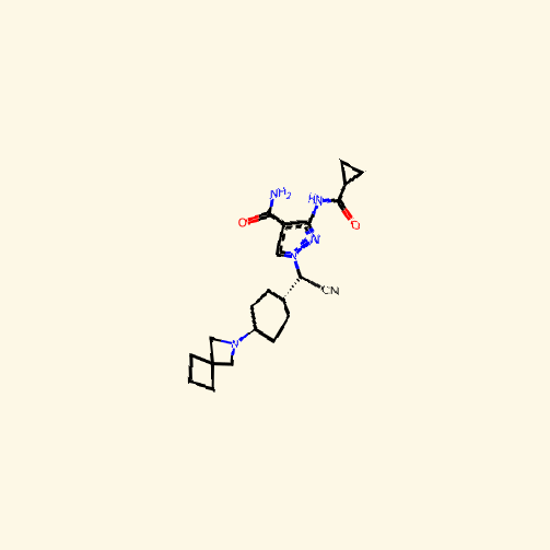 N#CC([C@H]1CC[C@H](N2CC3(CCC3)C2)CC1)n1cc(C(N)=O)c(NC(=O)C2CC2)n1